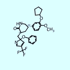 COc1ccc([C@H]2CNC(=O)[C@H](CC3(Oc4ccccc4)C=C(C(F)(F)F)C=N3)C2)cc1OC1CCCC1